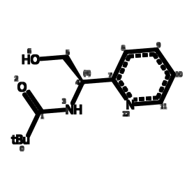 CC(C)(C)C(=O)N[C@@H](CO)c1ccccn1